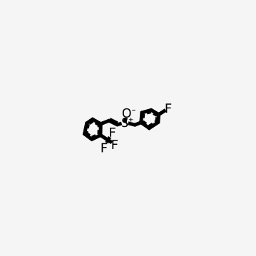 [O-][S+](C=Cc1ccccc1C(F)(F)F)Cc1ccc(F)cc1